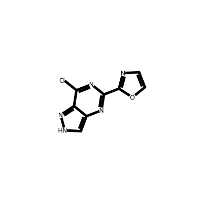 Clc1nc(-c2ncco2)nc2c[nH]nc12